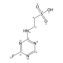 O=S(=O)(O)CCNc1n[c]nc(F)n1